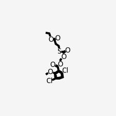 CCOC(=O)CCSC(=O)OCOC(=O)c1c(Cl)ccc(Cl)c1OC